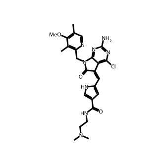 COc1c(C)cnc(CN2C(=O)/C(=C\c3cc(C(=O)NCCN(C)C)c[nH]3)c3c(Cl)nc(N)nc32)c1C